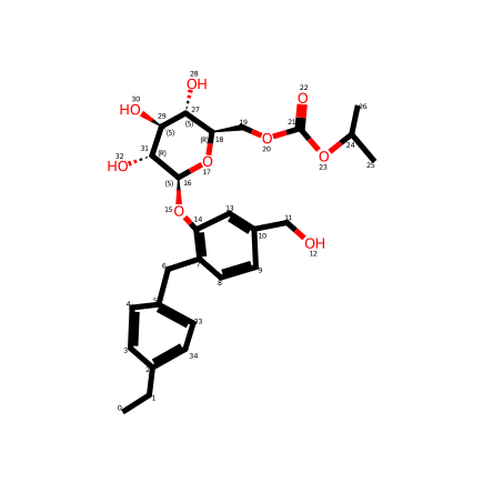 CCc1ccc(Cc2ccc(CO)cc2O[C@@H]2O[C@H](COC(=O)OC(C)C)[C@@H](O)[C@H](O)[C@H]2O)cc1